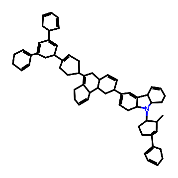 CC1C=C(C2=CC=CCC2)CCC1N1C2CC=C(C3C=CC4CC(C5CC=C(C6C=C(C7C=CC=CC7)C=C(C7=CCCC=C7)C6)CC5)=C5CCC=CC5C4C3)C=C2C2C=CCCC21